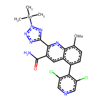 COc1ccc(-c2c(Cl)cncc2Cl)c2cc(C(N)=O)c(-c3nn[n]([Sn]([CH3])([CH3])[CH3])n3)nc12